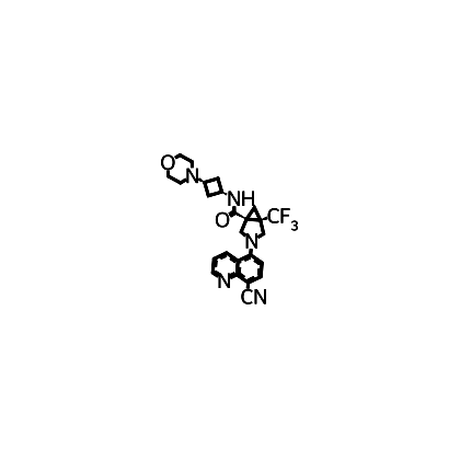 N#Cc1ccc(N2C[C@]3(C(=O)N[C@H]4C[C@H](N5CCOCC5)C4)C[C@]3(C(F)(F)F)C2)c2cccnc12